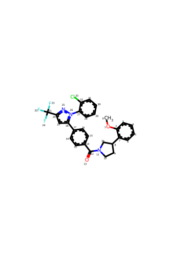 COc1ccccc1C1CCN(C(=O)c2ccc(-c3cc(C(F)(F)F)nn3-c3ccccc3Cl)cc2)C1